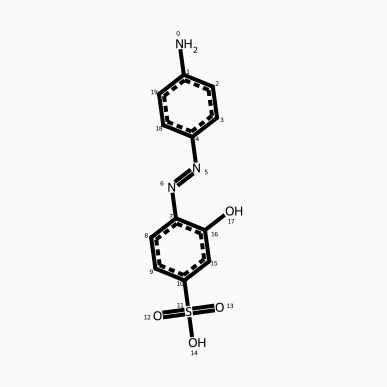 Nc1ccc(N=Nc2ccc(S(=O)(=O)O)cc2O)cc1